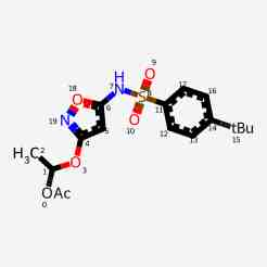 CC(=O)OC(C)Oc1cc(NS(=O)(=O)c2ccc(C(C)(C)C)cc2)on1